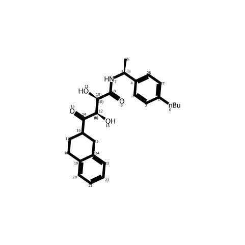 CCCCc1ccc([C@H](C)NC(=O)[C@H](O)[C@@H](O)C(=O)C2CCc3ccccc3C2)cc1